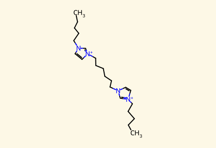 CCCCCn1cc[n+](CCCCCCn2cc[n+](CCCCC)c2)c1